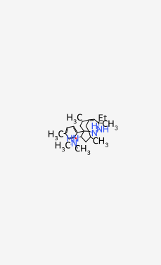 CCC1(C)C=C2CC3(NN1)C(C)CC(NN(C)C)C3(c1ccc(C)cc1)CC2C